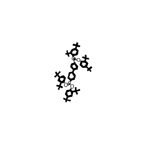 CC(C)(C)c1ccc(OP(Oc2ccc(C(C)(C)C)cc2C(C)(C)C)C2=CC=C(c3ccc(P(Oc4ccc(C(C)(C)C)cc4C(C)(C)C)Oc4ccc(C(C)(C)C)cc4C(C)(C)C)cc3)CC2)c(C(C)(C)C)c1